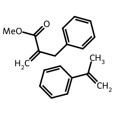 C=C(C)c1ccccc1.C=C(Cc1ccccc1)C(=O)OC